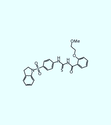 COCCOc1ccccc1C(=O)NC(=S)Nc1ccc(S(=O)(=O)N2CCc3ccccc32)cc1